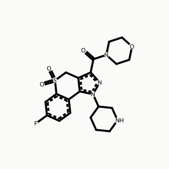 O=C(c1nn(C2CCCNC2)c2c1CS(=O)(=O)c1cc(F)ccc1-2)N1CCOCC1